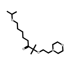 CC(C)OCCCCCC(=O)C(C)(C)OCCN1CCOCC1